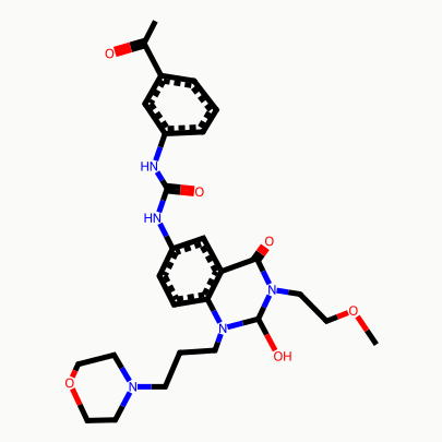 COCCN1C(=O)c2cc(NC(=O)Nc3cccc(C(C)=O)c3)ccc2N(CCCN2CCOCC2)C1O